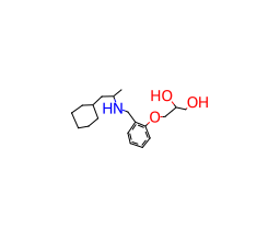 CC(CC1CCCCC1)NCc1ccccc1OCC(O)CO